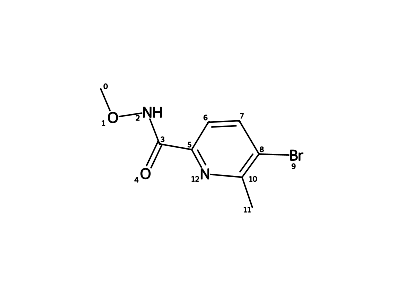 CONC(=O)c1ccc(Br)c(C)n1